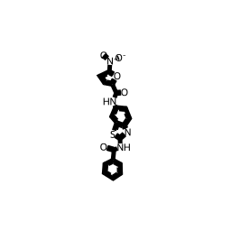 O=C(Nc1nc2ccc(NC(=O)c3ccc([N+](=O)[O-])o3)cc2s1)c1ccccc1